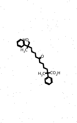 CC(CO)(CCCCC(=O)CCCCC(C)(C(=O)O)c1ccccc1)c1ccccc1